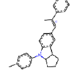 C/C(=C\c1ccc2c(c1)C1CCCC1N2c1ccc(C)cc1)c1ccccc1